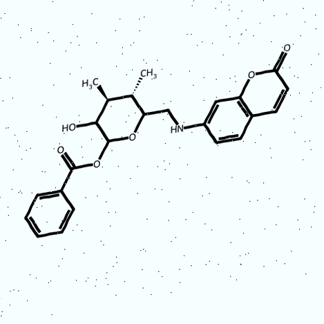 C[C@@H]1C(CNc2ccc3ccc(=O)oc3c2)OC(OC(=O)c2ccccc2)C(O)[C@H]1C